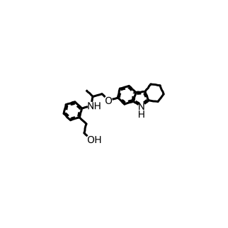 CC(COc1ccc2c3c([nH]c2c1)CCCC3)Nc1ccccc1CCO